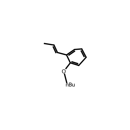 CC=Cc1ccccc1OCCCC